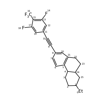 CCC1CCC2c3ccc(C#Cc4cc(F)c(C(F)(F)F)c(F)c4)cc3CCC2C1